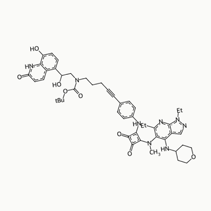 CCc1nc2c(cnn2CC)c(NC2CCOCC2)c1N(C)c1c(Nc2ccc(C#CCCCN(CC(O)c3ccc(O)c4[nH]c(=O)ccc34)C(=O)OC(C)(C)C)cc2)c(=O)c1=O